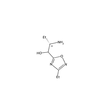 CCc1noc(C(O)[C@@H](N)CC)n1